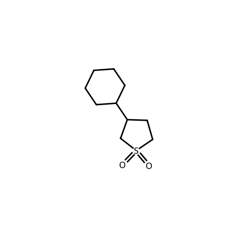 O=S1(=O)CCC(C2CCCCC2)C1